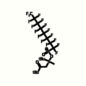 CC(C)(C)C(=O)CS(C)(OS(=O)(=O)C(F)(F)C(F)(F)C(F)(F)C(F)(F)C(F)(F)C(F)(F)C(F)(F)C(F)(F)F)C(C)(C)C